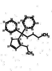 CCCCC(C1=C(CC)C=CC1)(c1ccccc1)c1ccccc1